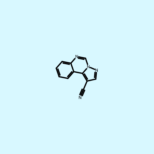 N#Cc1cnn2cnc3ccccc3c12